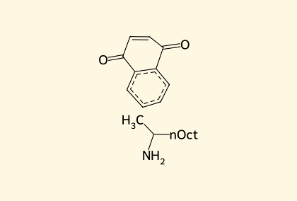 CCCCCCCCC(C)N.O=C1C=CC(=O)c2ccccc21